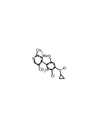 COc1cc([S+]([O-])C2CC2)c(Cl)cc1-c1cc(C)ncc1C(=O)O